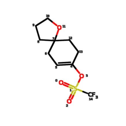 O=S(=O)(OC1=CCC2(CCCO2)CC1)C(F)(F)F